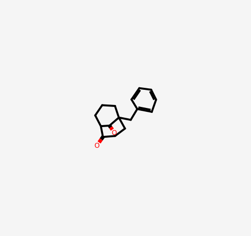 O=C1CCC2(Cc3ccccc3)CCCC1C2=O